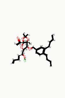 CCCCc1ccc(CO[C@H]2[C@@H]([C@H](CCCC)OCl)O[C@]3(C(C)=O)OC(C)(C)O[C@H]23)cc1CCCC